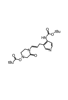 CC(C)(C)OC(=O)Nc1ccncc1CC=CN1CCN(OC(=O)C(C)(C)C)CC1=O